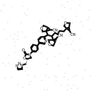 N#CC1C2COCC12CCCCC(C(c1ccc(-c2ccc(N3C[C@H](Cn4ccnn4)OC3=O)cc2)cn1)C12COCC1C2C#N)C12COCC1C2C#N